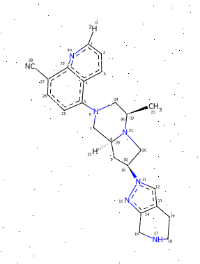 [2H]c1ccc2c(N3C[C@@H]4C[C@H](n5cc6c(n5)CNCC6)CN4[C@H](C)C3)ccc(C#N)c2n1